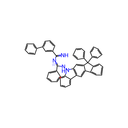 N=C(/N=C(\Nn1c2ccccc2c2cc3c(cc21)C(c1ccccc1)(c1ccccc1)c1ccccc1-3)c1ccccc1)c1cccc(-c2ccccc2)c1